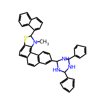 CN1c2c(ccc3ccc4cc(C5NC(c6ccccc6)NC(c6ccccc6)N5)ccc4c23)SC1c1cccc2ccccc12